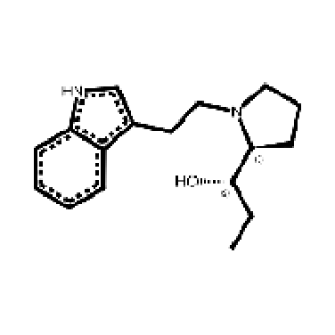 CC[C@H](O)[C@@H]1CCCN1CCc1c[nH]c2ccccc12